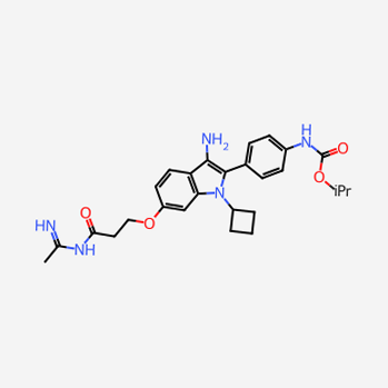 CC(=N)NC(=O)CCOc1ccc2c(N)c(-c3ccc(NC(=O)OC(C)C)cc3)n(C3CCC3)c2c1